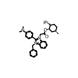 CC(C)C1CC[C@@H](C)C[C@H]1OC(=O)Cn1c(-c2ccc(N(C)C)cc2)[n+](Cc2ccccc2)c2ccccc21